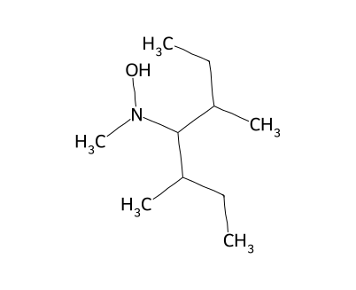 CCC(C)C(C(C)CC)N(C)O